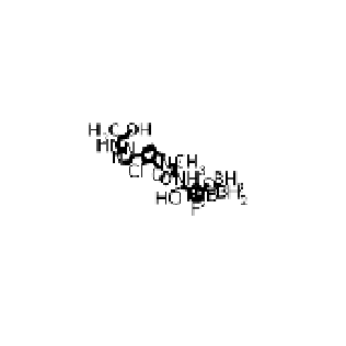 BC(B)(B)Oc1cc(F)cc([C@@H](CO)NC(=O)[C@@H](C)N2Cc3ccc(-c4nc(N[C@@H](C)CO)ncc4Cl)cc3C2=O)c1